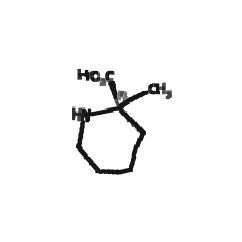 C[C@]1(C(=O)O)CCCCN1